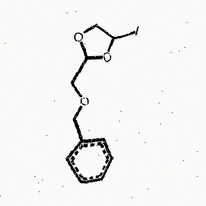 IC1COC(COCc2ccccc2)O1